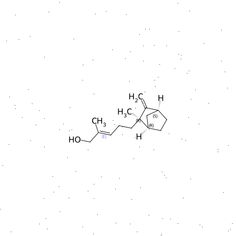 C=C1[C@H]2CC[C@H](C2)[C@@]1(C)CC/C=C(\C)CO